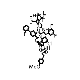 COc1ccc(CCS(=O)(=O)Nc2nn(C)c3c(-n4c(C(Cc5cc(F)cc(F)c5)NC(=O)Cn5nc(C(F)F)c6c5C(F)(F)[C@@H]5C[C@H]65)nc5cc(-c6ccccc6F)ccc5c4=O)ccc(Cl)c23)cc1